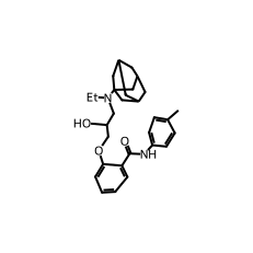 CCN(CC(O)COc1ccccc1C(=O)Nc1ccc(C)cc1)C12CC3CC(CC(C3)C1)C2